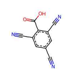 N#Cc1cc(C#N)c(C(=O)O)c(C#N)c1